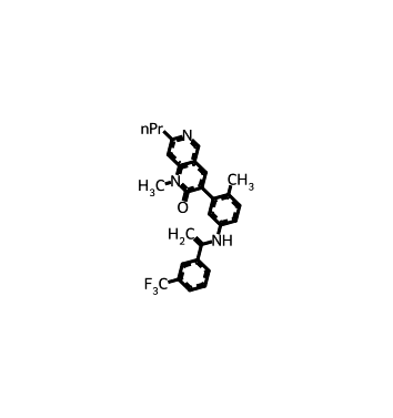 C=C(Nc1ccc(C)c(-c2cc3cnc(CCC)cc3n(C)c2=O)c1)c1cccc(C(F)(F)F)c1